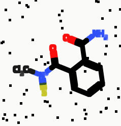 NC(=O)c1ccccc1C(=O)[N+](=S)C(Cl)(Cl)Cl